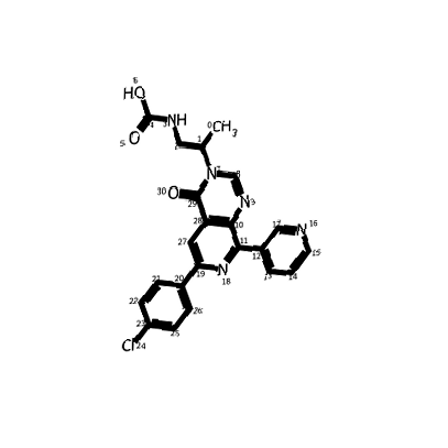 CC(CNC(=O)O)n1cnc2c(-c3cccnc3)nc(-c3ccc(Cl)cc3)cc2c1=O